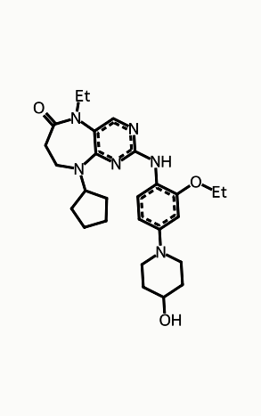 CCOc1cc(N2CCC(O)CC2)ccc1Nc1ncc2c(n1)N(C1CCCC1)CCC(=O)N2CC